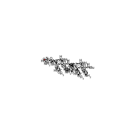 Cc1cn(CC(=O)N(CCNC(=O)CN(CCNC(C)(C)C)C(=O)Cn2ccc(N)nc2=O)CC(=O)N[C@@H](CCCCNC(=N)N)CN(CC(=O)NCCN(CC(=O)NCCN(CC(=O)N[C@@H](CCCCNC(=N)N)CN(CC(=O)C(C)(C)C)C(=O)Cn2cnc3c(=O)[nH]c(N)nc32)C(=O)Cn2cc(C)c(=O)[nH]c2=O)C(=O)Cn2ccc(N)nc2=O)C(=O)Cn2cnc3c(=O)[nH]c(N)nc32)c(=O)[nH]c1=O